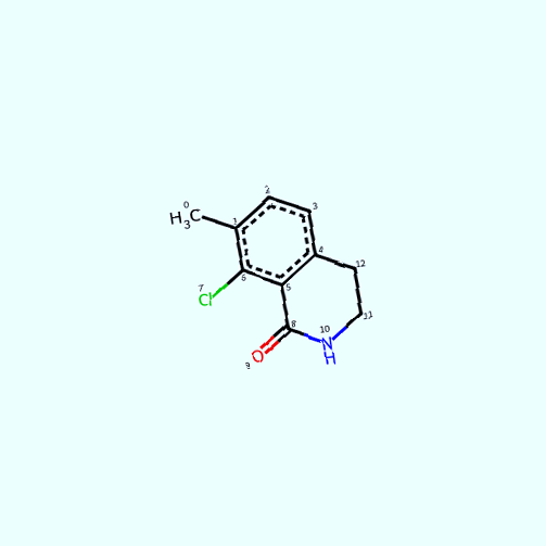 Cc1ccc2c(c1Cl)C(=O)NCC2